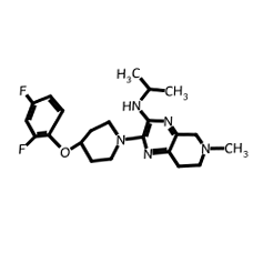 CC(C)Nc1nc2c(nc1N1CCC(Oc3ccc(F)cc3F)CC1)CCN(C)C2